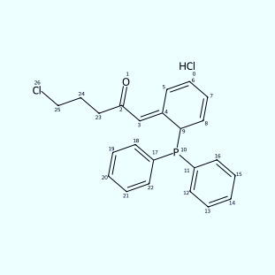 Cl.O=C(C=C1C=CC=CC1P(c1ccccc1)c1ccccc1)CCCCl